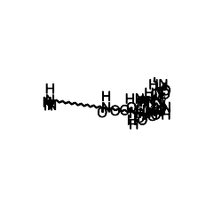 CCCC[C@H](NC(=O)[C@H](Cc1c[nH]cn1)NC(=O)[C@H](Cc1c[nH]cn1)NC(=O)[C@@H](CO)NC(=O)[C@H](CO)NC(=O)CNC(=O)COCCOCCNC(=O)CCCCCCCCCCCCCCCc1nnn[nH]1)C(=O)NC